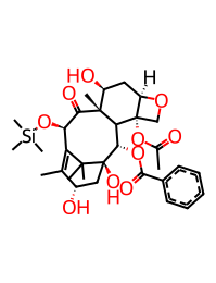 CC(=O)O[C@@]12CO[C@@H]1C[C@H](O)[C@@]1(C)C(=O)[C@H](O[Si](C)(C)C)C3=C(C)[C@@H](O)C[C@@](O)([C@@H](OC(=O)c4ccccc4)C12)C3(C)C